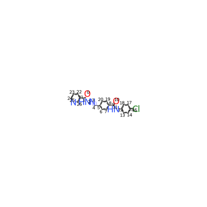 O=C(N/N=C/c1ccc(C(=O)Nc2ccc(Cl)cc2)cc1)c1cccnc1